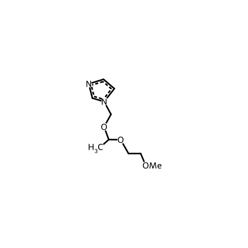 COCCOC(C)OCn1ccnc1